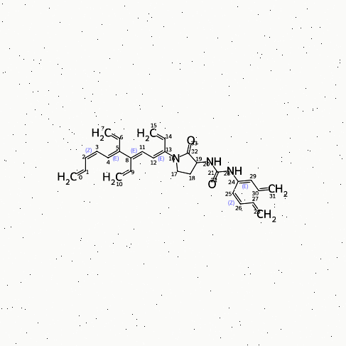 C=C\C=C/C=C(C=C)/C(C=C)=C/C=C(\C=C)N1CCC(NC(=O)NC(/C=C\C=C)=C/C=C)C1=O